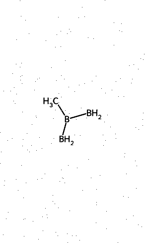 BB(B)C